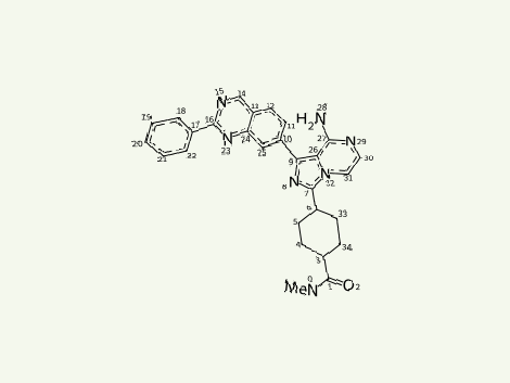 CNC(=O)C1CCC(c2nc(-c3ccc4cnc(-c5ccccc5)nc4c3)c3c(N)nccn23)CC1